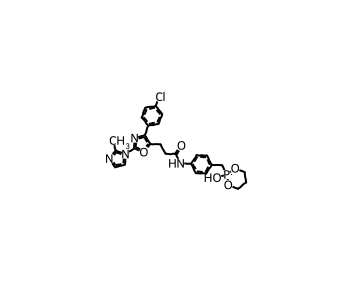 Cc1nccn1-c1nc(-c2ccc(Cl)cc2)c(CCC(=O)Nc2ccc(C[P]3(O)OCCCO3)cc2)o1